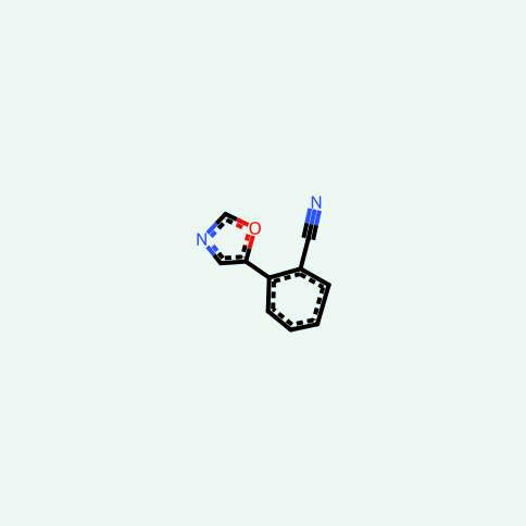 N#Cc1ccccc1-c1cnco1